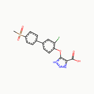 CS(=O)(=O)c1ccc(-c2ccc(Oc3[nH]nnc3C(=O)O)c(F)c2)cc1